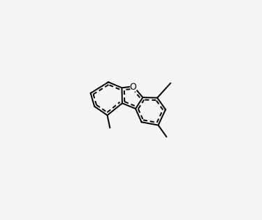 Cc1cc(C)c2oc3cccc(C)c3c2c1